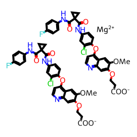 COc1cc2c(Oc3ccc(NC(=O)C4(C(=O)Nc5ccc(F)cc5)CC4)cc3Cl)ccnc2cc1OCCC(=O)[O-].COc1cc2c(Oc3ccc(NC(=O)C4(C(=O)Nc5ccc(F)cc5)CC4)cc3Cl)ccnc2cc1OCCC(=O)[O-].[Mg+2]